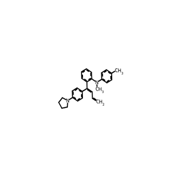 C=CC=C(c1ccc(N2CCCC2)cc1)c1ccccc1N(C)c1ccc(C)cc1